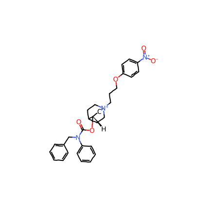 O=C(O[C@H]1C[N+]2(CCCOc3ccc([N+](=O)[O-])cc3)CCC1CC2)N(Cc1ccccc1)c1ccccc1